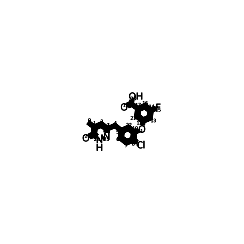 Cc1cc(Cc2ccc(Cl)c(Oc3cc(F)cc(C(=O)O)c3)c2)n[nH]c1=O